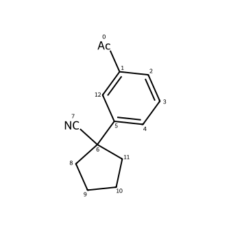 CC(=O)c1cccc(C2(C#N)CCCC2)c1